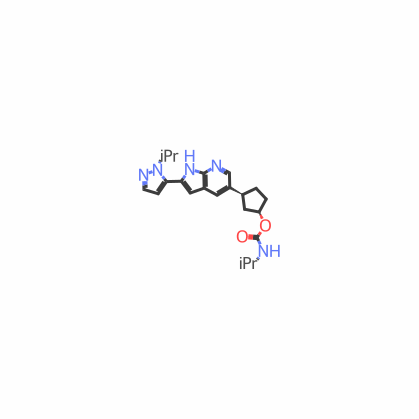 CC(C)NC(=O)O[C@@H]1CC[C@H](c2cnc3[nH]c(-c4ccnn4C(C)C)cc3c2)C1